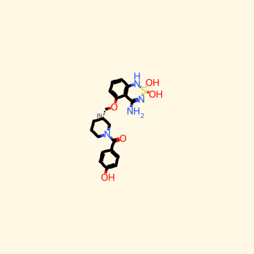 NC1=NS(O)(O)Nc2cccc(OC[C@H]3CCCN(C(=O)c4ccc(O)cc4)C3)c21